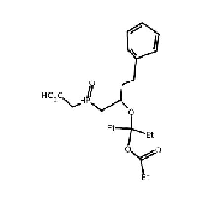 CCC(=O)OC(CC)(CC)OC(CCc1ccccc1)C[PH](=O)CC(=O)O